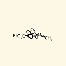 C=CCOC(=O)N1COC(=O)C12C(F)CC1C(C(=O)OCC)C12